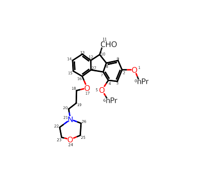 CCCOc1cc(OCCC)c2c(c1)C(C=O)c1cccc(OCCCN3CCOCC3)c1-2